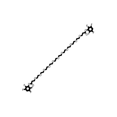 O=C(CCOCCOCCOCCOCCOCCOCCOCCOCCOCCOCCOCCC(=O)Oc1c(F)c(F)cc(F)c1F)Oc1c(F)c(F)cc(F)c1F